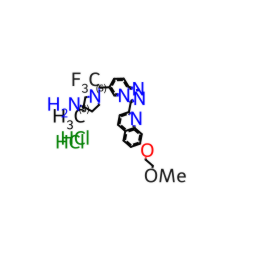 COCCOc1ccc2ccc(-c3nnc4ccc([C@H](N5CC[C@](C)(N)C5)C(F)(F)F)cn34)nc2c1.Cl.Cl